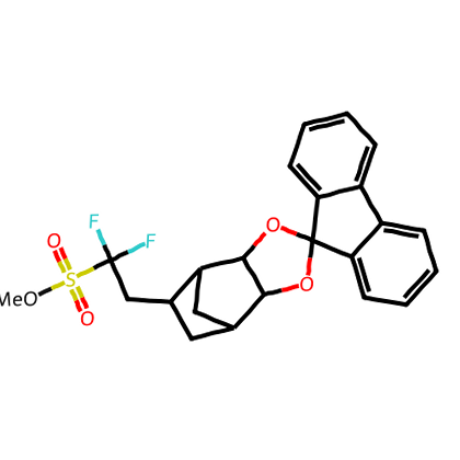 COS(=O)(=O)C(F)(F)CC1CC2CC1C1OC3(OC21)c1ccccc1-c1ccccc13